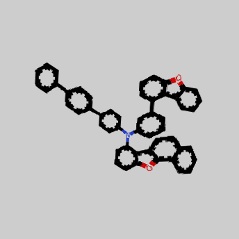 c1ccc(-c2ccc(-c3ccc(N(c4cccc(-c5cccc6oc7ccccc7c56)c4)c4cccc5oc6c7ccccc7ccc6c45)cc3)cc2)cc1